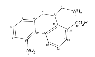 NCC(Cc1cccc([N+](=O)[O-])c1)c1ccccc1C(=O)O